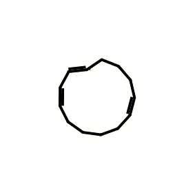 [C]1=C/C=C\CCCC/C=C\CCC/1